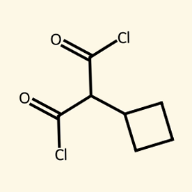 O=C(Cl)C(C(=O)Cl)C1CCC1